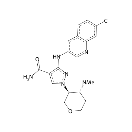 CN[C@@H]1CCOC[C@H]1n1cc(C(N)=O)c(Nc2cnc3cc(Cl)ccc3c2)n1